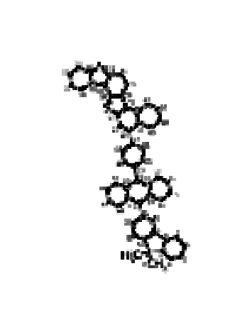 CC1(C)c2ccccc2-c2cc(-c3c4ccccc4c(-c4ccc(-c5cc6sc7c(ccc8sc9ccccc9c87)c6c6ccccc56)cc4)c4ccccc34)ccc21